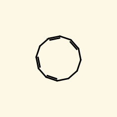 [C]1=CC=CCCCC=CC=CC1